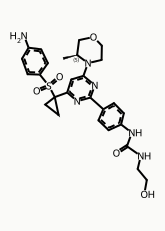 C[C@H]1COCCN1c1cc(C2(S(=O)(=O)c3ccc(N)cc3)CC2)nc(-c2ccc(NC(=O)NCCO)cc2)n1